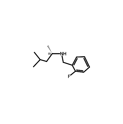 CC(C)C[C@H](C)NCc1ccccc1F